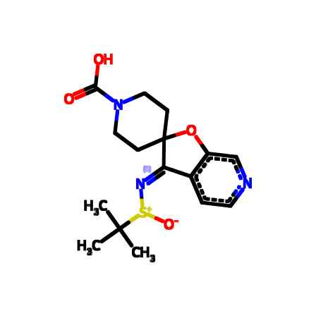 CC(C)(C)[S+]([O-])/N=C1\c2ccncc2OC12CCN(C(=O)O)CC2